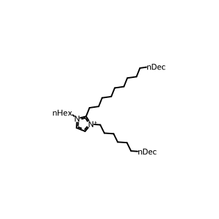 CCCCCCCCCCCCCCCCCCCc1n(CCCCCC)cc[n+]1CCCCCCCCCCCCCCCC